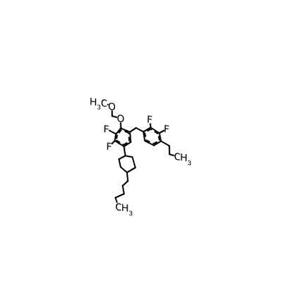 CCCCCC1CCC(c2cc(Cc3ccc(CCC)c(F)c3F)c(OCOC)c(F)c2F)CC1